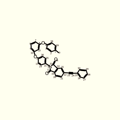 Cc1ccc(Oc2cccc(Oc3ccc(N4C(=O)c5ccc(C#Cc6ccccc6)cc5C4=O)cc3)c2)cc1